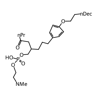 CCCCCCCCCCCCOc1ccc(CCCC(COP(=O)(O)OCCNC)CC(=O)CCC)cc1